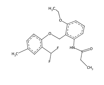 CCOc1cccc(NC(=O)CC)c1COc1ccc(C)cc1C(F)F